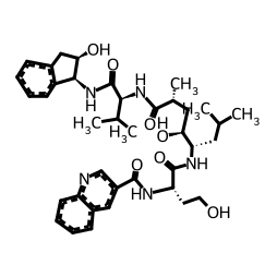 CC(C)C[C@H](NC(=O)[C@H](CCO)NC(=O)c1cnc2ccccc2c1)[C@@H](O)C[C@@H](C)C(=O)N[C@H](C(=O)N[C@H]1c2ccccc2C[C@H]1O)C(C)C